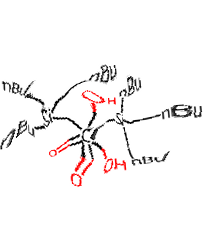 CCCC[Si](CCCC)(CCCC)[Cr](=[O])(=[O])([OH])([OH])[Si](CCCC)(CCCC)CCCC